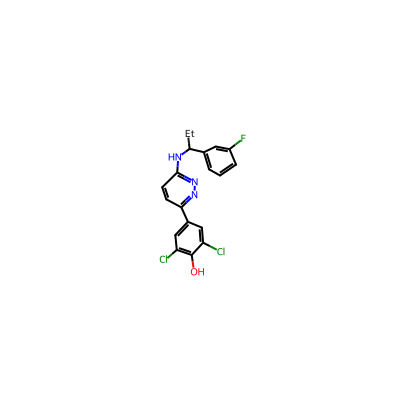 CCC(Nc1ccc(-c2cc(Cl)c(O)c(Cl)c2)nn1)c1cccc(F)c1